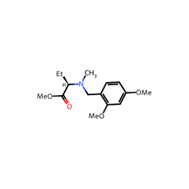 CC[C@H](C(=O)OC)N(C)Cc1ccc(OC)cc1OC